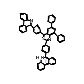 CC1C=CC=C/C1=c1\cccc\c1=C(\N)c1ccc(-c2nc(-c3ccc(-c4nc5ccccc5c5ccccc45)cc3)c3cc(-c4ccccc4)cc(-c4ccccc4)c3n2)cc1